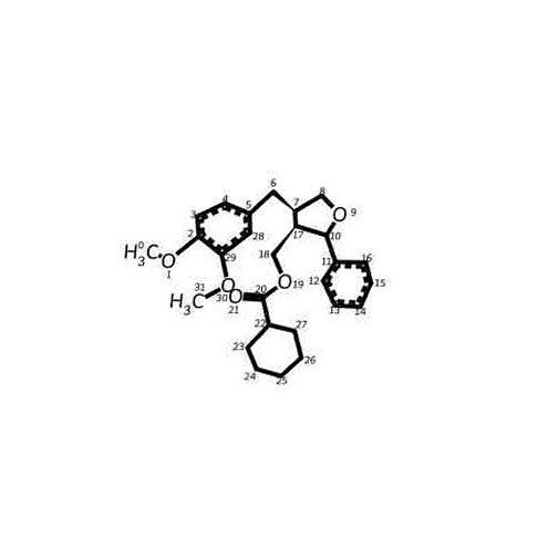 COc1ccc(C[C@H]2COC(c3ccccc3)[C@H]2COC(=O)C2CCCCC2)cc1OC